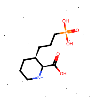 O=C(O)[C@H]1NCCC[C@H]1CCCP(=O)(O)O